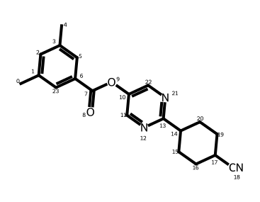 Cc1cc(C)cc(C(=O)Oc2cnc(C3CCC(C#N)CC3)nc2)c1